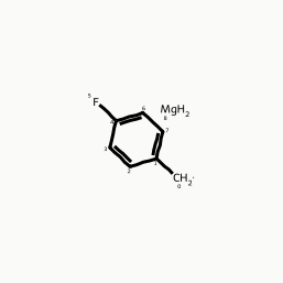 [CH2]c1ccc(F)cc1.[MgH2]